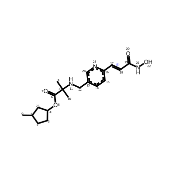 CC1CCC(OC(=O)C(C)(C)NCc2ccc(/C=C/C(=O)NO)nc2)C1